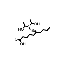 CCCCCCCCCC(=O)O.CCCCN(C(C)O)C(C)O